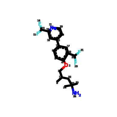 CC(COc1ccc(-c2ccnc(C(F)F)c2)cc1C(F)F)CC(C)(C)N